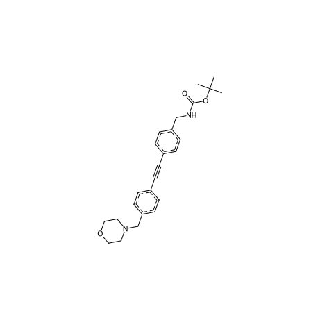 CC(C)(C)OC(=O)NCc1ccc(C#Cc2ccc(CN3CCOCC3)cc2)cc1